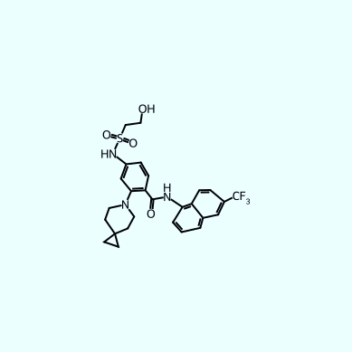 O=C(Nc1cccc2cc(C(F)(F)F)ccc12)c1ccc(NS(=O)(=O)CCO)cc1N1CCC2(CC1)CC2